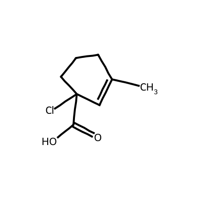 CC1=CC(Cl)(C(=O)O)CCC1